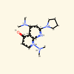 CN(C)c1cc(N2CCCC2)nc2c1c(=O)ccn2N(C)C